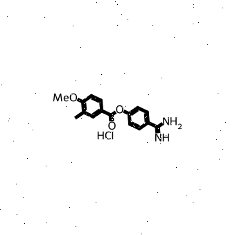 COc1ccc(C(=O)Oc2ccc(C(=N)N)cc2)cc1C.Cl